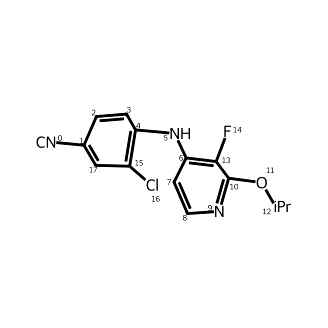 [C-]#[N+]c1ccc(Nc2ccnc(OC(C)C)c2F)c(Cl)c1